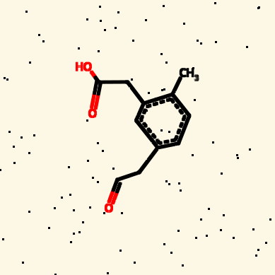 Cc1ccc(CC=O)cc1CC(=O)O